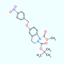 COC(=O)[C@H]1c2ccc(OCc3ccc([N+](=O)[O-])cc3)cc2CCN1C(=O)OC(C)(C)C